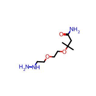 CC(C)(CC(N)=O)OCCOCCNN